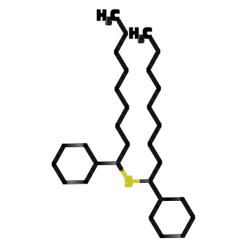 CCCCCCCCC(SC(CCCCCCCC)C1CCCCC1)C1CCCCC1